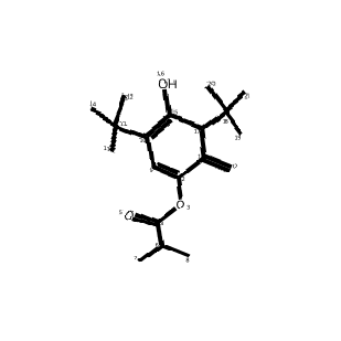 C=C1C(OC(=O)C(C)C)=CC(C(C)(C)C)=C(O)C1C(C)(C)C